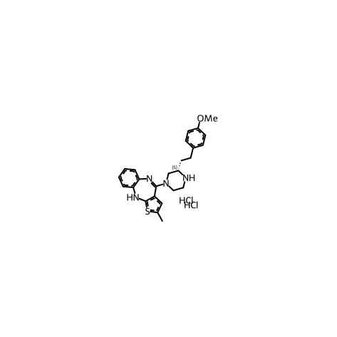 COc1ccc(CC[C@H]2CN(C3=Nc4ccccc4Nc4sc(C)cc43)CCN2)cc1.Cl.Cl